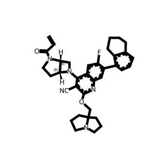 C=CC(=O)N1CC[C@@H]2[C@H]1CN2c1c(C#N)c(OCC23CCCN2CCC3)nc2cc(-c3cccc4c3CCCC4)c(F)cc12